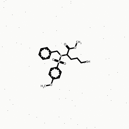 COC(=O)C(CCCS)N(Cc1ccccc1)S(=O)(=O)c1ccc(OC)cc1